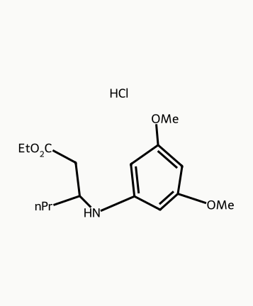 CCCC(CC(=O)OCC)Nc1cc(OC)cc(OC)c1.Cl